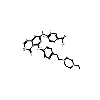 CCN1CCN(CCc2ccc(Nc3nc(Nc4ccc(C(=O)O)cn4)cc4cc[nH]c(=O)c34)cc2)CC1